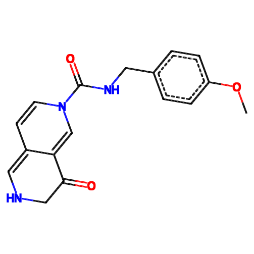 COc1ccc(CNC(=O)N2C=CC3=CNCC(=O)C3=C2)cc1